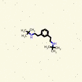 CC(C)(C)NCCc1cccc(CCNC(C)(C)C)c1